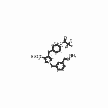 CCOC(=O)c1cn(Cc2cccc(C=NN)c2)cc1Cc1ccccc1.O=C(O)C(F)(F)F